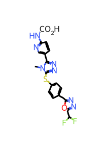 Cn1c(Sc2ccc(-c3nnc(C(F)F)o3)cc2)nnc1-c1ccc(NC(=O)O)nc1